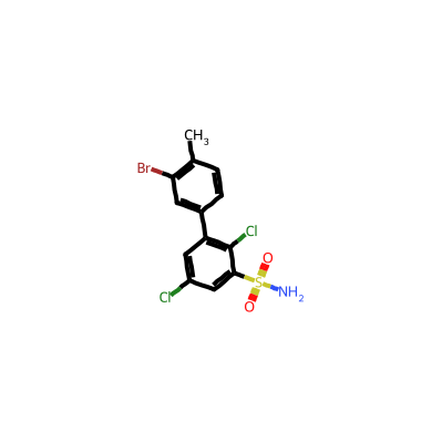 Cc1ccc(-c2cc(Cl)cc(S(N)(=O)=O)c2Cl)cc1Br